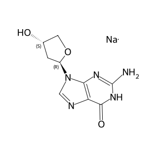 Nc1nc2c(ncn2[C@H]2C[C@H](O)CO2)c(=O)[nH]1.[Na]